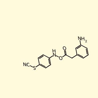 N#CSc1ccc(NOC(=O)Cc2cccc(N)c2)cc1